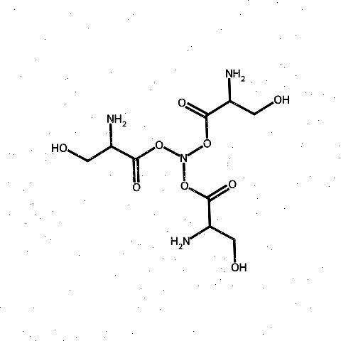 NC(CO)C(=O)ON(OC(=O)C(N)CO)OC(=O)C(N)CO